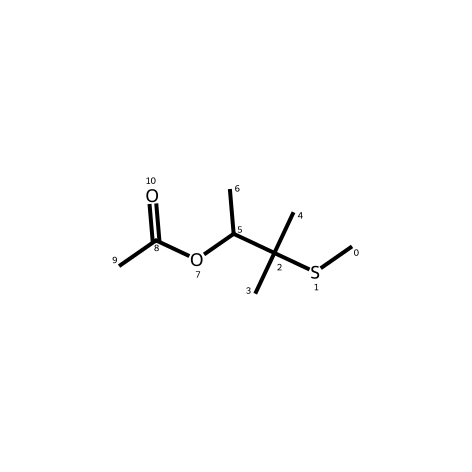 CSC(C)(C)C(C)OC(C)=O